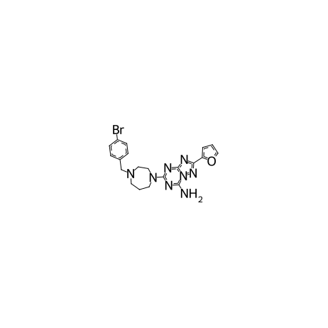 Nc1nc(N2CCCN(Cc3ccc(Br)cc3)CC2)nc2nc(-c3ccco3)nn12